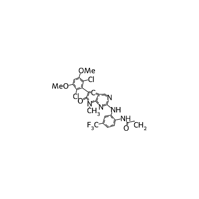 C=CC(=O)Nc1ccc(C(F)(F)F)cc1Nc1ncc2cc(-c3c(Cl)c(OC)cc(OC)c3Cl)c(=O)n(C)c2n1